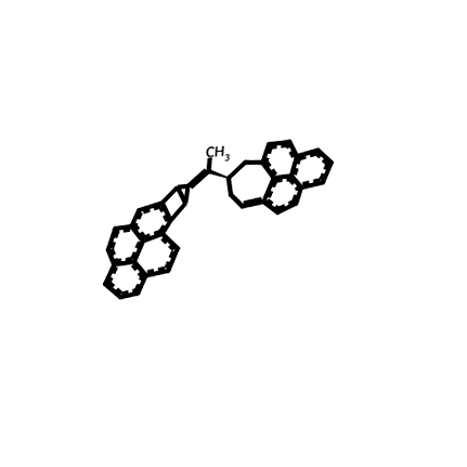 C/C(=C1\C2c3cc4ccc5cccc6ccc(c3C12)c4c56)[C@@H]1CC=c2ccc3cccc4ccc(c2c43)C1